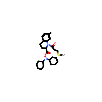 CC(=O)SCCC(=O)N1c2cc(C)ccc2CCC1C(=O)ON(C1CCCCC1)C1CCCCC1